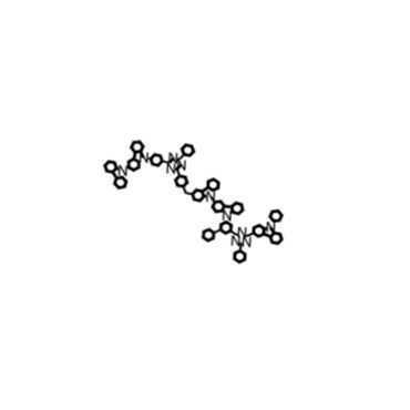 c1ccc(-c2cc(-c3nc(-c4ccccc4)nc(-c4ccc5c(c4)c4ccccc4n5-c4ccccc4)n3)cc(-n3c4ccccc4c4cc(-n5c6ccccc6c6cc(Cc7ccc(-c8nc(-c9ccccc9)nc(-c9ccc(-n%10c%11ccccc%11c%11cc(-n%12c%13ccccc%13c%13ccccc%13%12)ccc%11%10)cc9)n8)cc7)ccc65)ccc43)c2)cc1